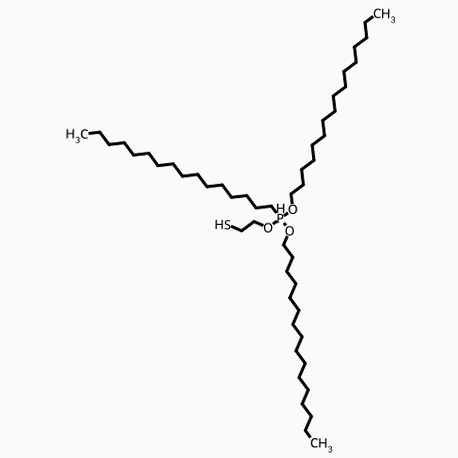 CCCCCCCCCCCCCCCCO[PH](CCCCCCCCCCCCCCCC)(OCCS)OCCCCCCCCCCCCCCCC